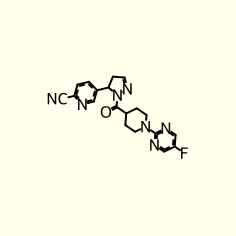 N#Cc1ccc(C2CC=NN2C(=O)C2CCN(c3ncc(F)cn3)CC2)cn1